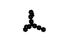 c1ccc(-c2ccc(-c3ccc(N(c4ccc(-c5ccc6c(c5)sc5ccccc56)cc4)c4ccc5c(ccc6ccccc65)c4)cc3)cc2)cc1